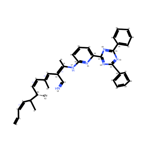 C=C/C=C\C(C)[C@H](\C=C/C(C)=C/C(C=N)=C(\C)Nc1cccc(-c2nc(-c3ccccc3)nc(-c3ccccc3)n2)n1)C(C)C